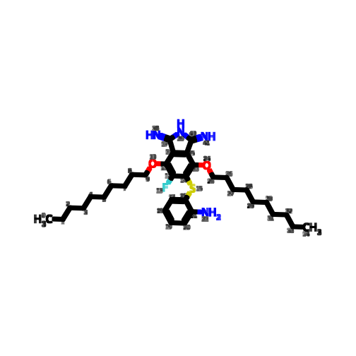 CCCCCCCCCCOc1c(F)c(Sc2ccccc2N)c(OCCCCCCCCCC)c2c1C(=N)NC2=N